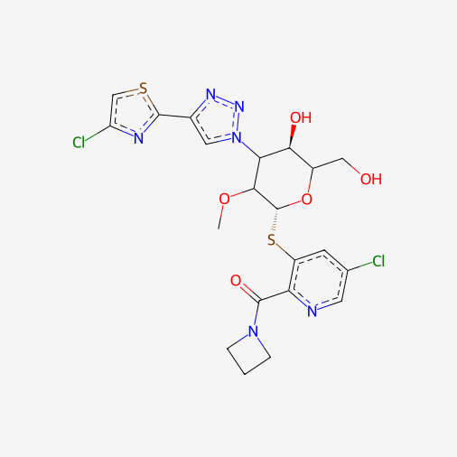 COC1C(n2cc(-c3nc(Cl)cs3)nn2)[C@@H](O)C(CO)O[C@@H]1Sc1cc(Cl)cnc1C(=O)N1CCC1